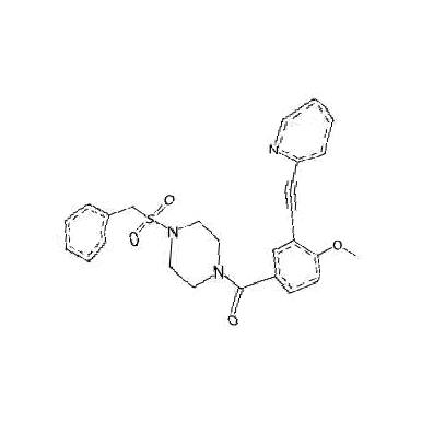 COc1ccc(C(=O)N2CCN(S(=O)(=O)Cc3ccccc3)CC2)cc1C#Cc1ccccn1